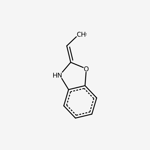 [CH]C=C1Nc2ccccc2O1